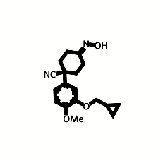 COc1ccc(C2(C#N)CCC(=NO)CC2)cc1OCC1CC1